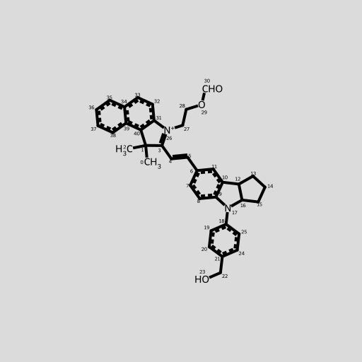 CC1(C)C(/C=C/c2ccc3c(c2)C2CCCC2N3c2ccc(CO)cc2)=[N+](CCOC=O)c2ccc3ccccc3c21